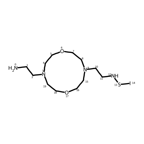 NCCN1CCOCCN(CCNSI)CCOCC1